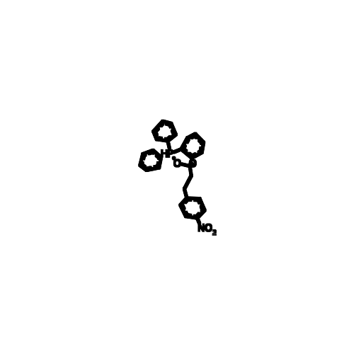 O=C(CCc1ccc([N+](=O)[O-])cc1)O[PH](c1ccccc1)(c1ccccc1)c1ccccc1